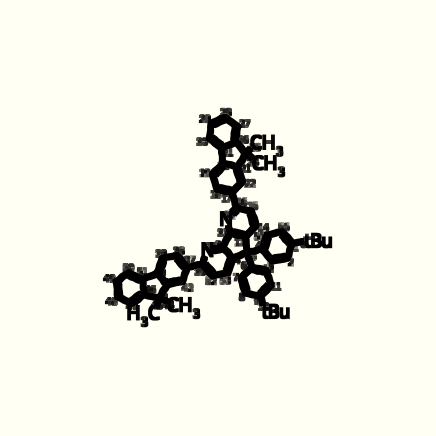 CC(C)(C)c1ccc(C2(c3ccc(C(C)(C)C)cc3)c3ccc(-c4ccc5c(c4)C(C)(C)c4ccccc4-5)nc3-c3nc(-c4ccc5c(c4)C(C)(C)c4ccccc4-5)ccc32)cc1